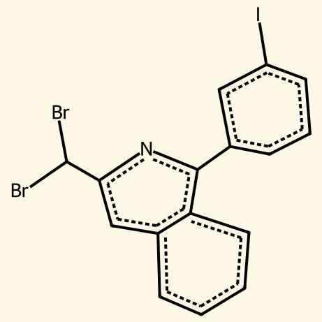 BrC(Br)c1cc2ccccc2c(-c2cccc(I)c2)n1